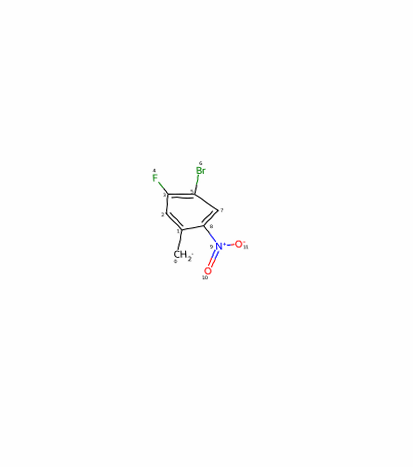 [CH2]c1cc(F)c(Br)cc1[N+](=O)[O-]